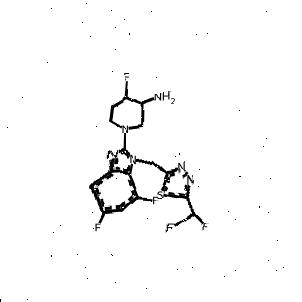 NC1CN(c2nc3cc(F)cc(F)c3n2Cc2nnc(C(F)F)s2)CCC1F